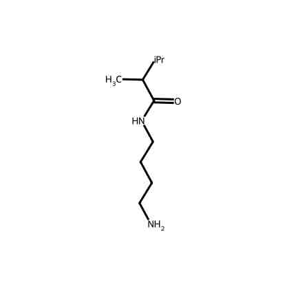 CC(C)C(C)C(=O)NCCCCN